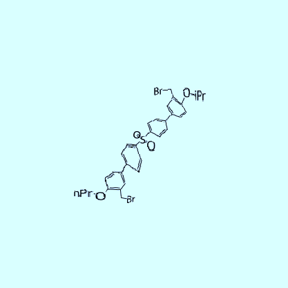 CCCOc1ccc(-c2ccc(S(=O)(=O)c3ccc(-c4ccc(OC(C)C)c(CBr)c4)cc3)cc2)cc1CBr